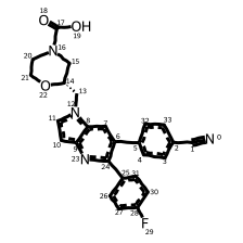 N#Cc1ccc(-c2cc3c(ccn3C[C@H]3CN(C(=O)O)CCO3)nc2-c2ccc(F)cc2)cc1